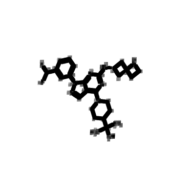 CC(C)(O)C1CCN(c2nc(N[C@H]3C[C@@]4(CCN4)C3)nc3c2cnn3-c2cccc(C(F)F)c2)CC1